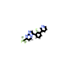 Fc1c(-c2cccnc2)cccc1-c1cnc2nc(C(F)(F)F)ccn12